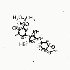 Br.CN(C)S(=O)(=O)c1cc(-c2cs/c(=N\c3ccc4c(c3)OCO4)n2C)ccc1Cl